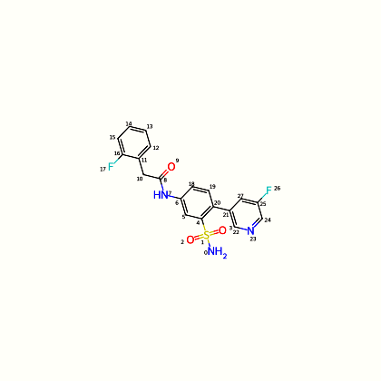 NS(=O)(=O)c1cc(NC(=O)Cc2ccccc2F)ccc1-c1cncc(F)c1